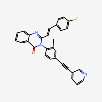 Cc1cc(C#Cc2cccnc2)ccc1-n1c(/C=C/c2ccc(F)cc2)nc2ccccc2c1=O